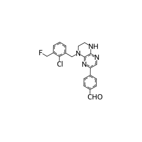 O=Cc1ccc(-c2cnc3c(n2)N(Cc2cccc(CF)c2Cl)CCN3)cc1